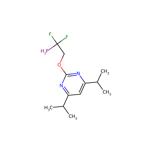 CC(C)c1cc(C(C)C)nc(OCC(F)(F)P)n1